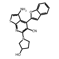 N#Cc1c(N2CCC(O)C2)nc2scc(N)c2c1-c1cc2ccccc2o1